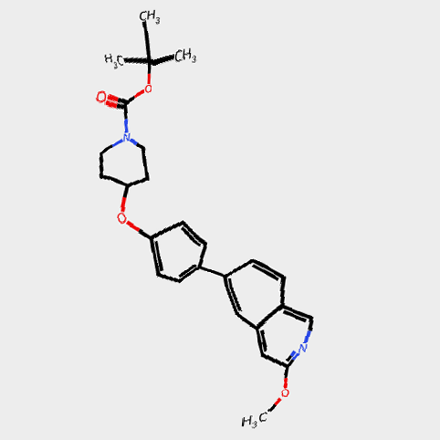 COc1cc2cc(-c3ccc(OC4CCN(C(=O)OC(C)(C)C)CC4)cc3)ccc2cn1